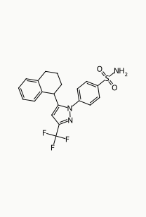 NS(=O)(=O)c1ccc(-n2nc(C(F)(F)F)cc2C2CCCc3ccccc32)cc1